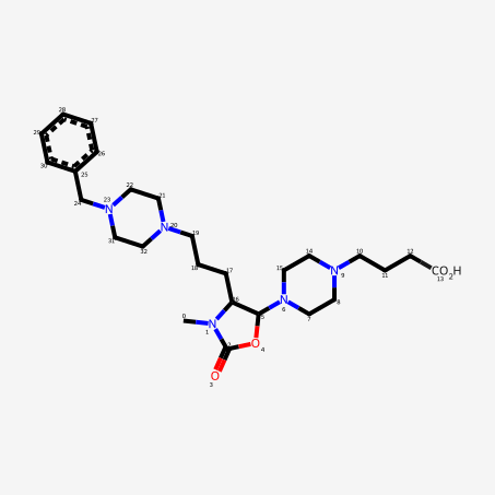 CN1C(=O)OC(N2CCN(CCCC(=O)O)CC2)C1CCCN1CCN(Cc2ccccc2)CC1